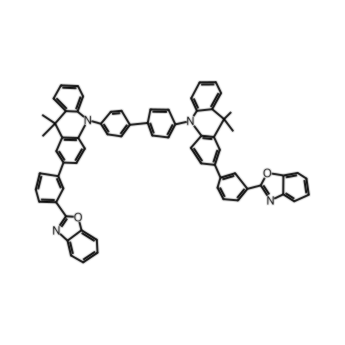 CC1(C)c2ccccc2N(c2ccc(-c3ccc(N4c5ccccc5C(C)(C)c5cc(-c6cccc(-c7nc8ccccc8o7)c6)ccc54)cc3)cc2)c2ccc(-c3cccc(-c4nc5ccccc5o4)c3)cc21